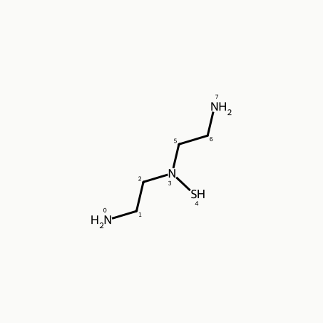 NCCN(S)CCN